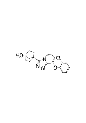 OC12CCC(c3nnc4c(Oc5ccccc5Cl)cccn34)(CC1)C2